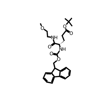 COCCNC(=O)[C@H](CCC(=O)OC(C)(C)C)NC(=O)OCC1c2ccccc2-c2ccccc21